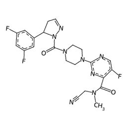 CN(CC#N)C(=O)c1nc(N2CCN(C(=O)N3N=CCC3c3cc(F)cc(F)c3)CC2)ncc1F